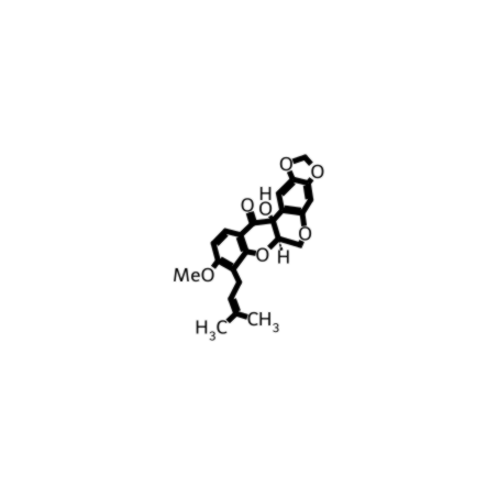 COc1ccc2c(c1CC=C(C)C)O[C@@H]1COc3cc4c(cc3[C@@]1(O)C2=O)OCO4